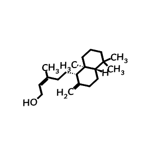 C=C1CC[C@H]2C(C)(C)CCC[C@]2(C)[C@H]1CC/C(C)=C\CO